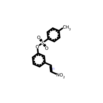 Cc1ccc(S(=O)(=O)Oc2cccc(/C=C/[N+](=O)[O-])c2)cc1